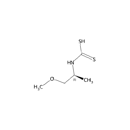 COC[C@H](C)NC(=S)S